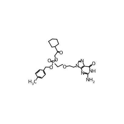 Cc1ccc(COP(=O)(CCOCCn2cnc3c(=O)[nH]c(N)nc32)OCC(=O)C2CCCCC2)cc1